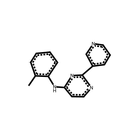 Cc1[c]cccc1Nc1ccnc(-c2cccnc2)n1